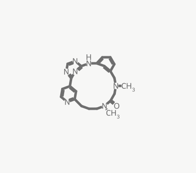 CN1CC(=O)N(C)CCCc2cc(ccn2)-c2ncnc(n2)Nc2cccc(c2)C1